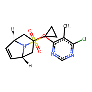 Cc1c(Cl)ncnc1OC1C[C@@H]2C=C[C@@H](C1)N2S(=O)(=O)C1CC1